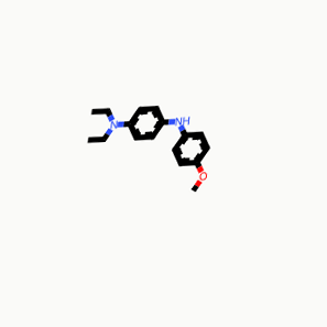 CCN(CC)c1ccc(Nc2ccc(OC)cc2)cc1